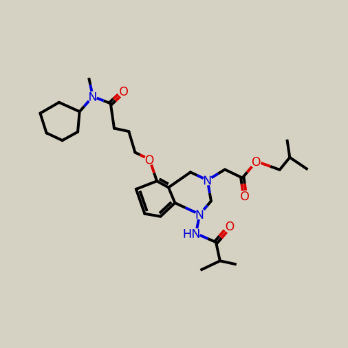 CC(C)COC(=O)CN1Cc2c(OCCCC(=O)N(C)C3CCCCC3)cccc2N(NC(=O)C(C)C)C1